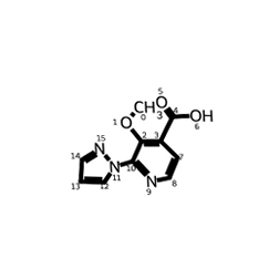 COc1c(C(=O)O)ccnc1-n1cccn1